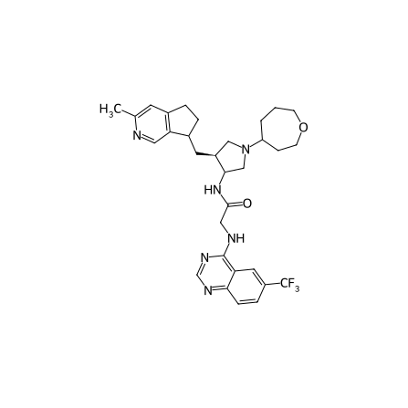 Cc1cc2c(cn1)C(C[C@H]1CN(C3CCCOCC3)CC1NC(=O)CNc1ncnc3ccc(C(F)(F)F)cc13)CC2